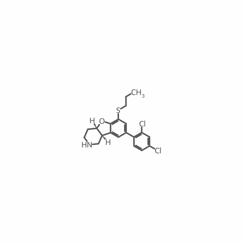 CCCSc1cc(-c2ccc(Cl)cc2Cl)cc2c1O[C@H]1CCNC[C@@H]21